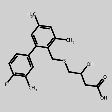 Cc1cc(C)c(CSCC(O)CC(=O)O)c(-c2ccc(F)c(C)c2)c1